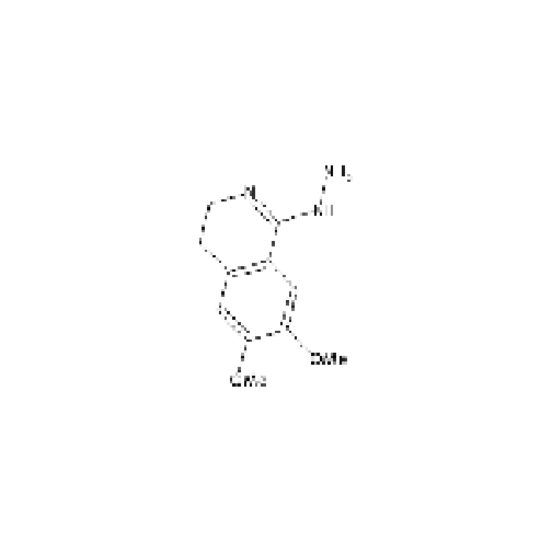 COc1cc2c(cc1OC)C(NN)=NCC2